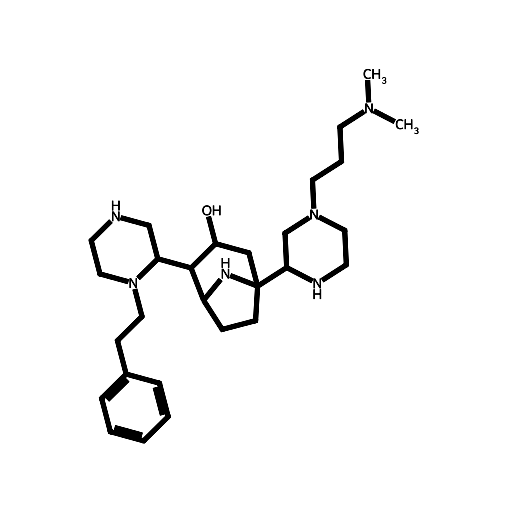 CN(C)CCCN1CCNC(C23CCC(N2)C(C2CNCCN2CCc2ccccc2)C(O)C3)C1